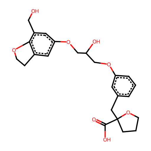 O=C(O)C1(Cc2cccc(OCC(O)COc3cc(CO)c4c(c3)CCO4)c2)CCCO1